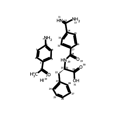 CC(=O)c1ccc(N)cc1.I.N=C(N)c1ccc(C(=O)N[C@@H](Cc2ccccc2)C(=O)O)cc1